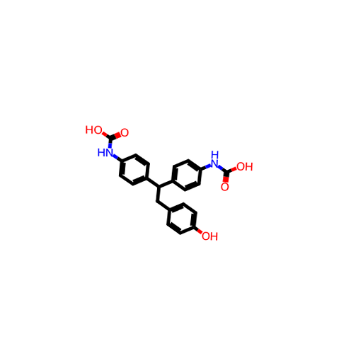 O=C(O)Nc1ccc(C(Cc2ccc(O)cc2)c2ccc(NC(=O)O)cc2)cc1